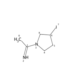 CC(=N)N1CCC(I)C1